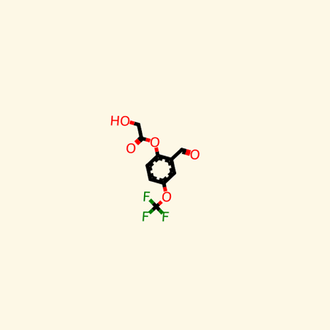 O=Cc1cc(OC(F)(F)F)ccc1OC(=O)CO